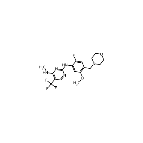 CNc1nc(Nc2cc(OC)c(CN3CCOCC3)cc2F)ncc1C(F)(F)F